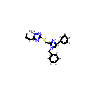 C/C=C\c1nc(SCc2nc(-c3ccccc3)cn2Cc2ccccc2)nn1CC